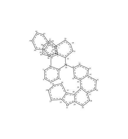 c1ccc(-c2ccccc2N(c2ccc3ccc4ccc5oc6ccccc6c5c4c3c2)c2cccc3c2oc2ccccc23)cc1